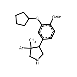 COc1ccc(C2CNCC2(C)C(C)=O)cc1OC1CCCC1